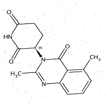 Cc1cccc2nc(C)n([C@@H]3CCC(=O)NC3=O)c(=O)c12